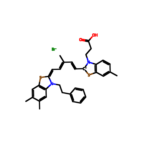 CC(C=C[c+]1sc2cc(C)ccc2n1CCC(=O)O)=CC=C1Sc2cc(C)c(C)cc2N1CCc1ccccc1.[Br-]